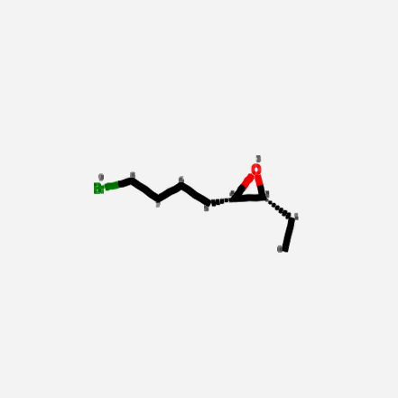 CC[C@H]1O[C@H]1CCCCBr